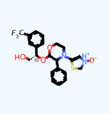 [O-][NH+]1C=C(N2CCOC(O[C@H](CO)c3cccc(C(F)(F)F)c3)C2c2ccccc2)SC1